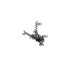 CCC(O)/C=C/C=C/C=C/C(=O)OC[C@H]1O[C@@H](O[C@H]2[C@H](OC(=O)/C=C/C=C/CC(O)/C(C)=C/C=C/CCC(C)CC)[C@@H](O)[C@@]3(OCc4cc(O)cc(O)c43)O[C@@H]2CO)[C@H](O)[C@@H](O)[C@H]1O